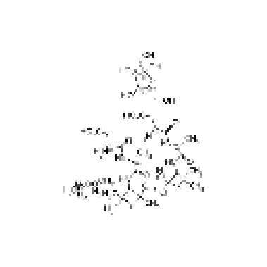 C[C@@H](NC(=O)[C@@H](N)CC(=O)O)C(=O)NC1C(C)(C)SC1(C)C.C[C@@H](NC(=O)[C@@H](N)CC(=O)O)C(=O)NC1C(C)(C)SC1(C)C.O.O.O.O.O.OC[C@H]1O[C@](O)(CO)[C@@H](O)[C@@H]1O